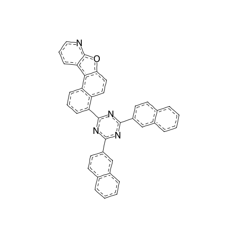 c1ccc2cc(-c3nc(-c4ccc5ccccc5c4)nc(-c4cccc5c4ccc4oc6ncccc6c45)n3)ccc2c1